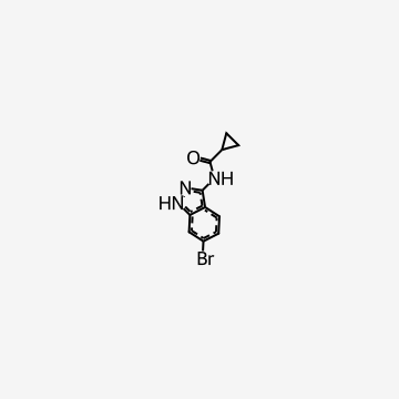 O=C(Nc1n[nH]c2cc(Br)ccc12)C1CC1